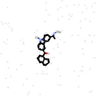 CCn1c2ccc(C(=O)c3cccc4ccccc34)cc2c2cc(/C(C)=N/OC(C)=O)ccc21